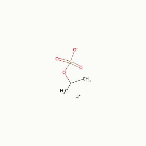 CC(C)OS(=O)(=O)[O-].[Li+]